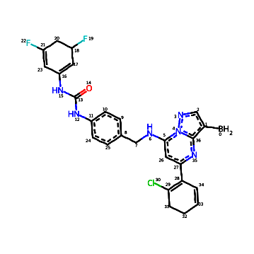 Bc1cnn2c(NCc3ccc(NC(=O)NC4=CC(F)CC(F)=C4)cc3)cc(C3=C(Cl)CCC=C3)nc12